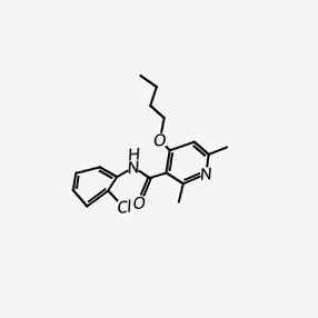 CCCCOc1cc(C)nc(C)c1C(=O)Nc1ccccc1Cl